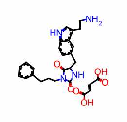 NCCc1c[nH]c2ccc(CC3NC(=O)N(CCCc4ccccc4)C3=O)cc12.O=C(O)C=CC(=O)O